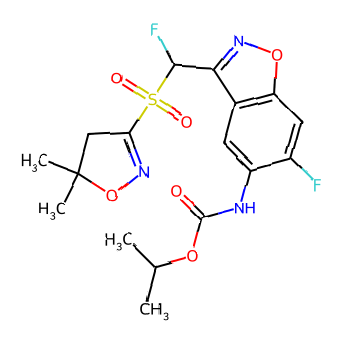 CC(C)OC(=O)Nc1cc2c(C(F)S(=O)(=O)C3=NOC(C)(C)C3)noc2cc1F